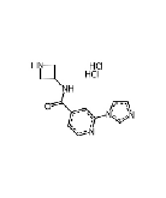 Cl.Cl.O=C(NC1CNC1)c1ccnc(-n2ccnc2)c1